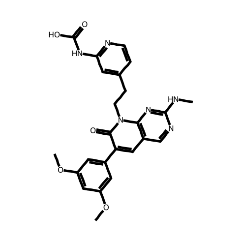 CNc1ncc2cc(-c3cc(OC)cc(OC)c3)c(=O)n(CCc3ccnc(NC(=O)O)c3)c2n1